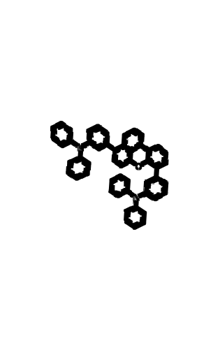 c1ccc(N(c2ccccc2)c2cccc(-c3cccc4c3Oc3ccc(-c5cccc(N(c6ccccc6)c6ccccc6)c5)c5cccc-4c35)c2)cc1